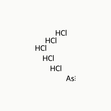 Cl.Cl.Cl.Cl.Cl.[As]